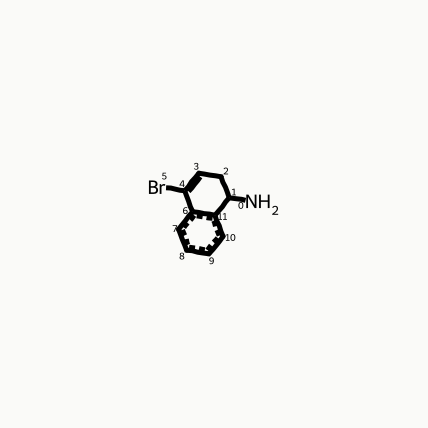 N[C]1CC=C(Br)c2ccccc21